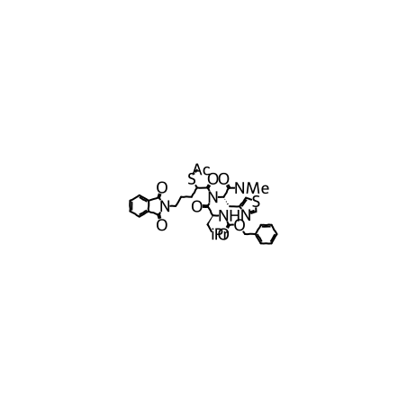 CNC(=O)[C@H](Cc1cscn1)N(C(=O)C(CCCN1C(=O)c2ccccc2C1=O)SC(C)=O)C(=O)[C@H](CC(C)C)NC(=O)OCc1ccccc1